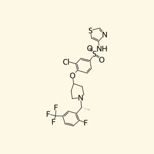 C[C@H](c1cc(C(F)(F)F)ccc1F)N1CCC(Oc2ccc(S(=O)(=O)Nc3cscn3)cc2Cl)CC1